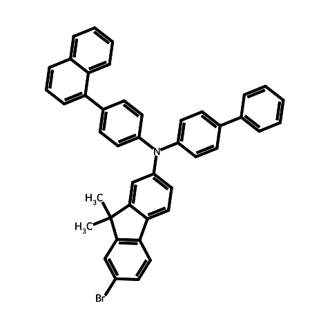 CC1(C)c2cc(Br)ccc2-c2ccc(N(c3ccc(-c4ccccc4)cc3)c3ccc(-c4cccc5ccccc45)cc3)cc21